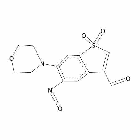 O=CC1=CS(=O)(=O)c2cc(N3CCOCC3)c(N=O)cc21